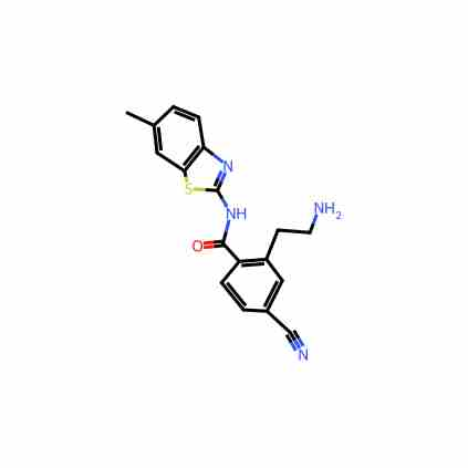 Cc1ccc2nc(NC(=O)c3ccc(C#N)cc3CCN)sc2c1